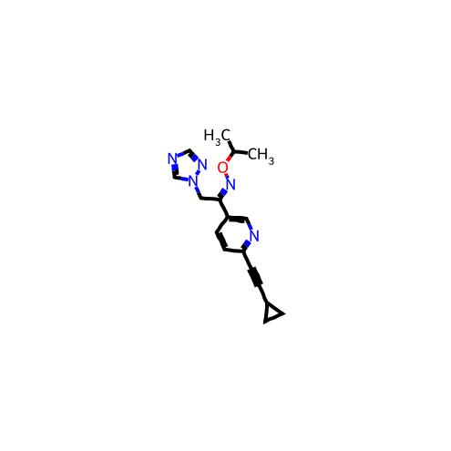 CC(C)O/N=C(\Cn1cncn1)c1ccc(C#CC2CC2)nc1